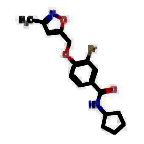 Cc1cc(COc2ccc(C(=O)NC3CCCC3)cc2Br)on1